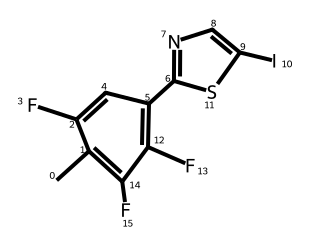 Cc1c(F)cc(-c2ncc(I)s2)c(F)c1F